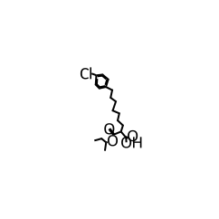 CCC(C)OC(=O)C(CCCCCCCc1ccc(Cl)cc1)C(=O)O